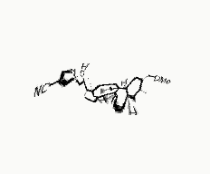 COC[C@H]1C[C@H]2[C@H](CC[C@@H]3[C@@H]2CC[C@@]2(C)[C@H]3CC[C@@H]2[C@](C)(O)Cn2cc(C#N)cn2)C[C@H]1C